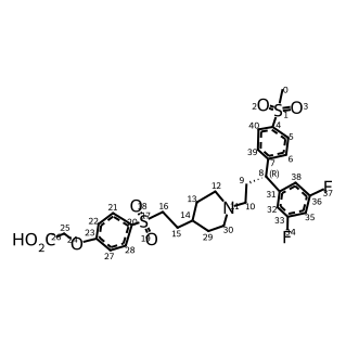 CS(=O)(=O)c1ccc([C@@H](CCN2CCC(CCS(=O)(=O)c3ccc(OCC(=O)O)cc3)CC2)c2cc(F)cc(F)c2)cc1